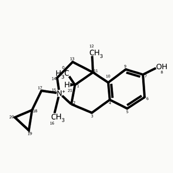 C[C@H]1C2Cc3ccc(O)cc3C1(C)CC[N+]2(C)CC1CC1